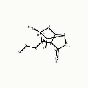 CCCC1C2C(=O)OC3C2C[C@@H]1C3C